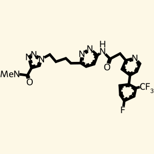 CNC(=O)c1cn(CCCCc2ccc(NC(=O)Cc3cc(-c4ccc(F)cc4C(F)(F)F)ccn3)nn2)nn1